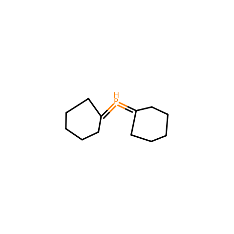 C1CCC(=[PH]=C2CCCCC2)CC1